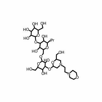 CC(C)C1OC(COC2OC(CO)C(O)C(OC3CN(CCN4CCOCC4)CC(CO)O3)C2O)C(O)C(OC2OC(CO)C(O)C(O)C2O)C1O